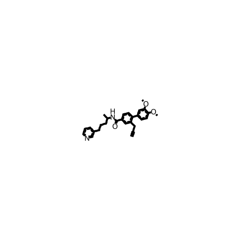 C#CCc1cc(C(=O)NC(C)CCCc2cccnc2)ccc1-c1ccc(OC)c(OC)c1